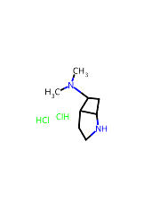 CN(C)C1CC2NCCC21.Cl.Cl